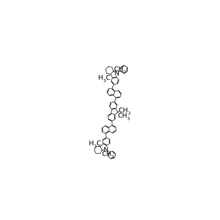 CC1(C)c2cc(-c3cccc4c(-c5ccc6c(c5)C5(C)CCCCC5(C)N6c5ccccc5)cccc34)ccc2-c2ccc(-c3cccc4c(-c5ccc6c(c5)C5(C)CCCCC5(C)N6c5ccccc5)cccc34)cc21